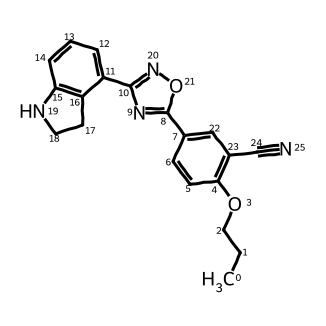 CCCOc1ccc(-c2nc(-c3cccc4c3CCN4)no2)cc1C#N